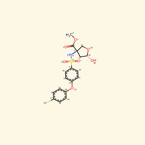 COC(=O)[C@]1(NS(=O)(=O)c2ccc(Oc3ccc(F)cc3)cc2)CO[C@H](O)C1